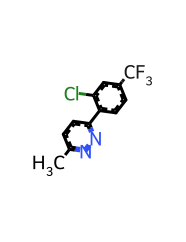 Cc1ccc(-c2ccc(C(F)(F)F)cc2Cl)nn1